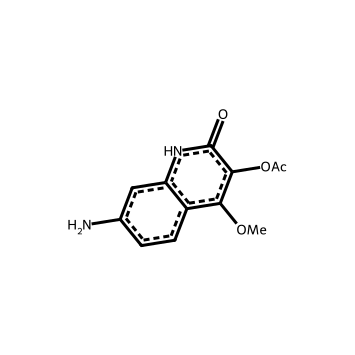 COc1c(OC(C)=O)c(=O)[nH]c2cc(N)ccc12